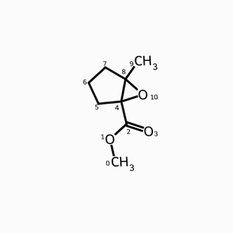 COC(=O)C12CCCC1(C)O2